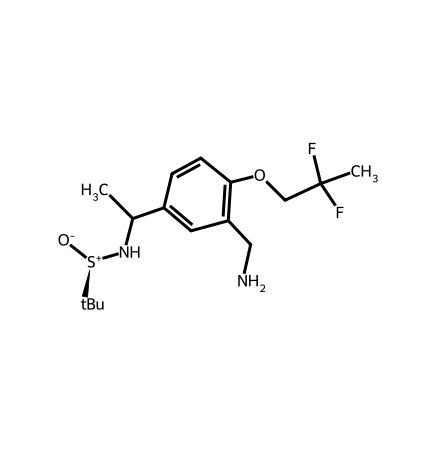 CC(N[S@+]([O-])C(C)(C)C)c1ccc(OCC(C)(F)F)c(CN)c1